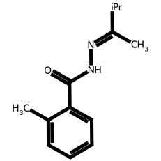 CC(=NNC(=O)c1ccccc1C)C(C)C